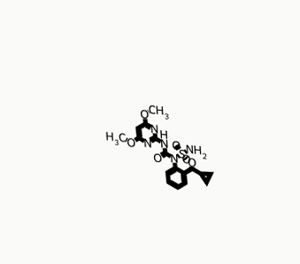 COc1cc(OC)nc(NC(=O)N(c2ccccc2C(=O)C2CC2)S(N)(=O)=O)n1